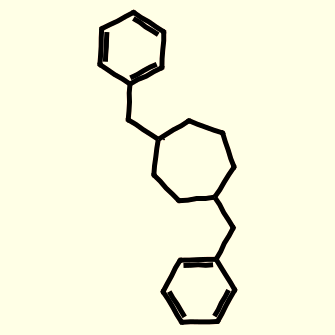 c1ccc(C[C]2CCCC(Cc3ccccc3)CC2)cc1